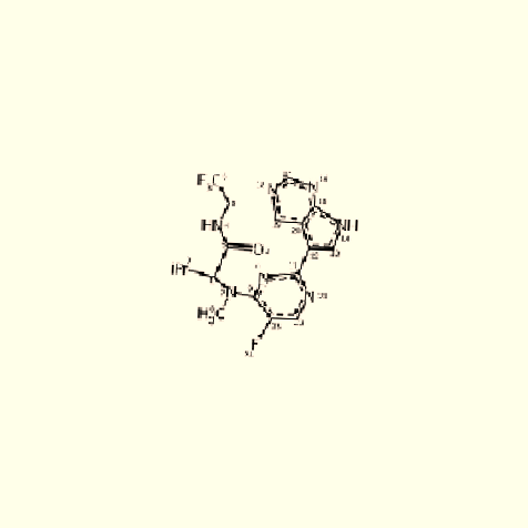 CC(C)C(C(=O)NCC(F)(F)F)N(C)c1nc(-c2c[nH]c3ncncc23)ncc1F